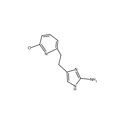 Nc1nc(CCc2cccc(Cl)n2)c[nH]1